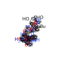 CCCC[C@@H](C(=O)N1CCC[C@@H]1C(=O)N[C@H](C=O)CC(=O)O)N(C)C(=O)[C@H](Cc1ccccc1)N(C)C(=O)[C@H](Cc1ccc(F)cc1)NC(=O)CSC[C@H](NC(=O)[C@H](CC(C)C)NC(=O)[C@H](Cc1ccc(O)cc1)NC(=O)[C@H](Cc1c[nH]c2ccccc12)NC(=O)[C@H]1CCCN1C1OC1[C@H](CCCN)NC(=O)C(Cc1ccc(C)cc1)N(C)C(=O)[C@@H](N)C(C)C)C(=O)NCC(N)=O